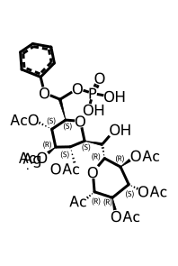 CC(=O)O[C@@H]1[C@@H](OC(C)=O)[C@H](C(C)=O)O[C@H](C(O)[C@@H]2O[C@H](C(Oc3ccccc3)OP(=O)(O)O)[C@@H](OC(C)=O)[C@H](OC(C)=O)[C@H]2OC(C)=O)[C@H]1OC(C)=O.[Ag]